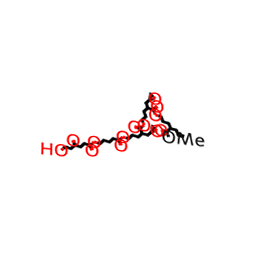 C=CCC(CCCOC(=O)C(CCCOC(=O)C(CCCOC(=O)CCCCOC(=O)CCC(=O)CCO)CC1CO1)CC1CO1)C(=O)OC